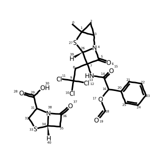 CC12CC1N1C(=O)C(CC(Cl)(Cl)Cl)(NC(=O)C(OC=O)c3ccccc3)[C@@H]1S2.O=C(O)C1CS[C@H]2CC(=O)N12